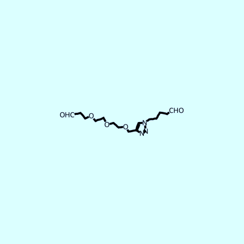 O=CCCCCn1cc(COCCOCCOCCC=O)nn1